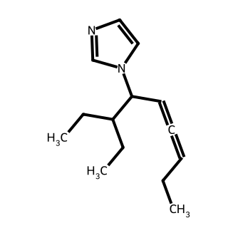 CCC=C=CC(C(CC)CC)n1ccnc1